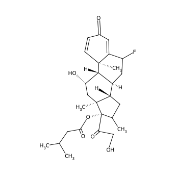 CC(C)CC(=O)O[C@@]1(C(=O)CO)C(C)C[C@H]2[C@@H]3CC(F)C4=CC(=O)C=C[C@]4(C)[C@H]3[C@@H](O)C[C@@]21C